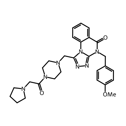 COc1ccc(Cn2c(=O)c3ccccc3n3c(CN4CCN(C(=O)CN5CCCC5)CC4)nnc23)cc1